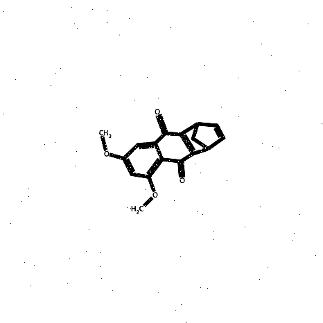 [CH2]Oc1cc(OC)cc2c1C(=O)C1=C(C2=O)C2C=CC1C2